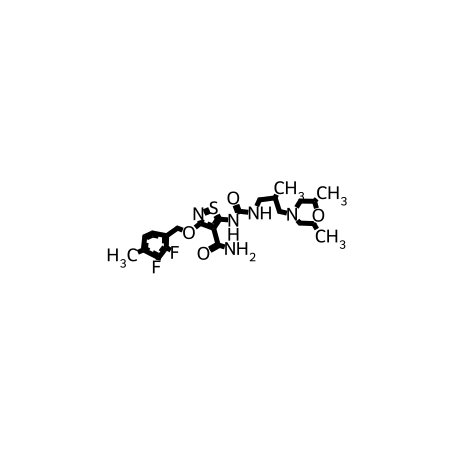 Cc1ccc(COc2nsc(NC(=O)NCC(C)CN3CC(C)OC(C)C3)c2C(N)=O)c(F)c1F